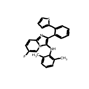 Cc1cccc(C)c1Nc1c(-c2ccccc2-c2cccs2)nc2ccc(F)cn12